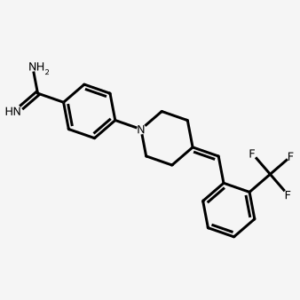 N=C(N)c1ccc(N2CCC(=Cc3ccccc3C(F)(F)F)CC2)cc1